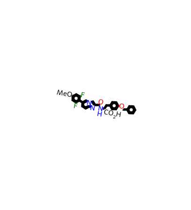 COc1cc(F)c(-c2ccc3nc(C(=O)NC(Cc4ccc(OCc5ccccc5)cc4)C(=O)O)cn3c2)c(F)c1